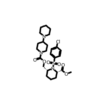 COC(=O)[C@@H]1CCC[C@H](COC(=O)N2CCC(N3CCCCC3)CC2)N1S(=O)(=O)c1ccc(Cl)cc1